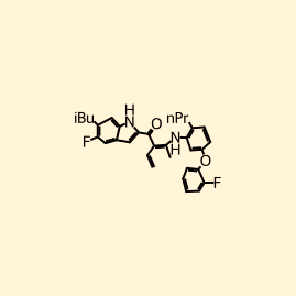 C=C/C(C(=O)c1cc2cc(F)c(C(C)CC)cc2[nH]1)=C(\C)Nc1cc(Oc2ccccc2F)ccc1CCC